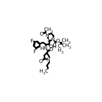 CCCCN1CC(C(=O)NC(Cc2cc(F)cc(F)c2)[C@H](O)[C@H]2CN(C(C)=O)CCN2C(=O)OC(C)(C)C)CC1=O